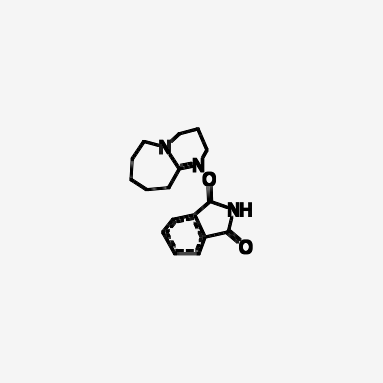 C1CCC2=NCCCN2CC1.O=C1NC(=O)c2ccccc21